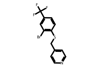 FC(F)(F)c1ccc(SCc2ccncc2)c(Br)c1